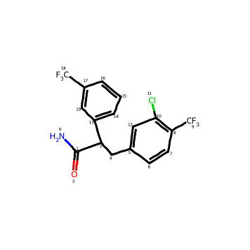 NC(=O)C(Cc1ccc(C(F)(F)F)c(Cl)c1)c1cccc(C(F)(F)F)c1